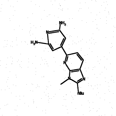 CCCCc1nc2ccc(-c3cc(N)nc(N)c3)nc2n1C